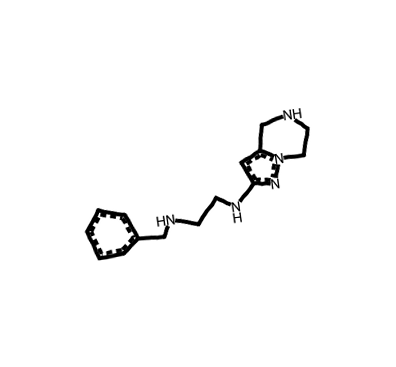 c1ccc(CNCCNc2cc3n(n2)CCNC3)cc1